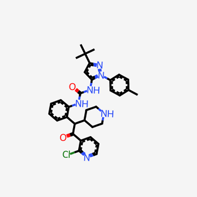 Cc1ccc(-n2nc(C(C)(C)C)cc2NC(=O)Nc2ccccc2C(C(=O)c2cccnc2Cl)C2CCNCC2)cc1